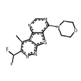 Cc1c(C(F)F)nnc2sc3c(N4CCOCC4)ncnc3c12